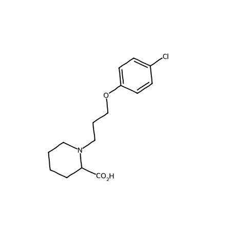 O=C(O)C1CCCCN1CCCOc1ccc(Cl)cc1